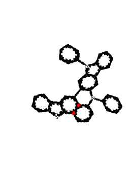 c1ccc(N(c2ccccc2)c2cc3c4ccccc4n(-c4ccccc4)c3cc2-c2ccc3sc4ccccc4c3c2)cc1